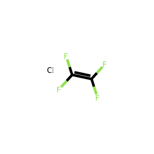 FC(F)=C(F)F.[C]